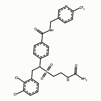 NC(=O)NCCS(=O)(=O)N(Cc1cccc(Cl)c1Cl)c1ccc(C(=O)NCc2ccc(C(F)(F)F)nc2)cc1